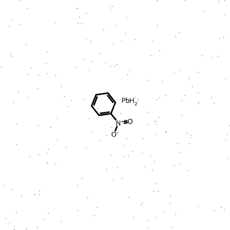 O=[N+]([O-])c1ccccc1.[PbH2]